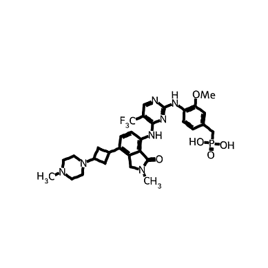 COc1cc(CP(=O)(O)O)ccc1Nc1ncc(C(F)(F)F)c(Nc2ccc(C3CC(N4CCN(C)CC4)C3)c3c2C(=O)N(C)C3)n1